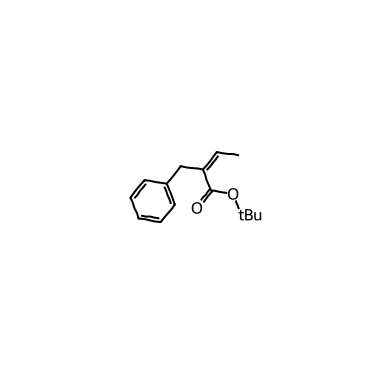 C/C=C(/Cc1ccccc1)C(=O)OC(C)(C)C